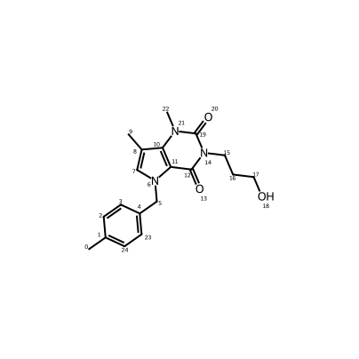 Cc1ccc(Cn2cc(C)c3c2c(=O)n(CCCO)c(=O)n3C)cc1